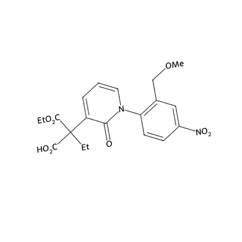 CCOC(=O)C(CC)(C(=O)O)c1cccn(-c2ccc([N+](=O)[O-])cc2COC)c1=O